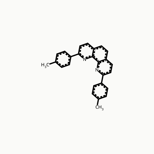 Cc1ccc(-c2ccc3ccc4ccc(-c5ccc(C)cc5)nc4c3n2)cc1